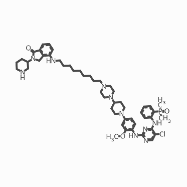 COc1cc(N2CCC(N3CCN(CCCCCCCCCNc4cccc5c4CN(C4CCCNC4)C5=O)CC3)CC2)ccc1Nc1ncc(Cl)c(Nc2ccccc2P(C)(C)=O)n1